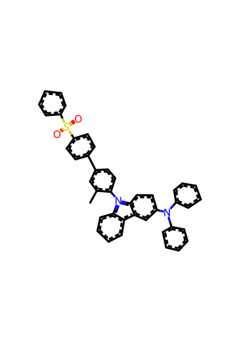 Cc1cc(-c2ccc(S(=O)(=O)c3ccccc3)cc2)ccc1-n1c2ccccc2c2cc(N(c3ccccc3)c3ccccc3)ccc21